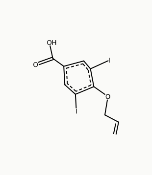 C=CCOc1c(I)cc(C(=O)O)cc1I